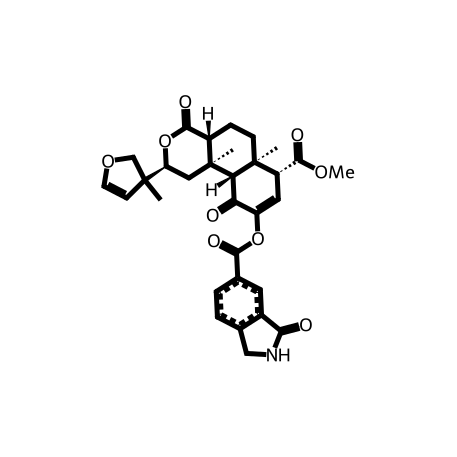 COC(=O)[C@@H]1C=C(OC(=O)c2ccc3c(c2)C(=O)NC3)C(=O)[C@H]2[C@@]1(C)CC[C@H]1C(=O)O[C@H](C3(C)C=COC3)C[C@]21C